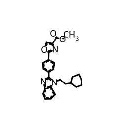 COC(=O)c1coc(-c2ccc(-c3nc4ccccc4n3CCC3CCCCC3)cc2)n1